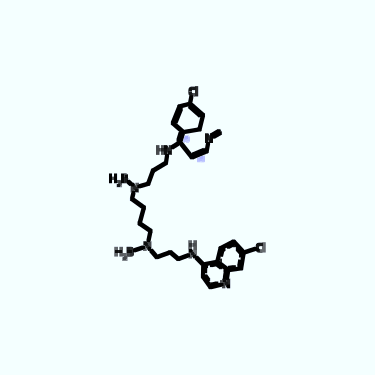 BN(CCCCN(B)CCCNc1ccnc2cc(Cl)ccc12)CCCNC(/C=C\N=C)=C1\C=CC(Cl)=CC1